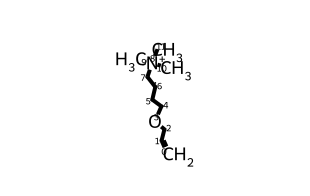 C=CCOCC[CH]C[N+](C)(C)C